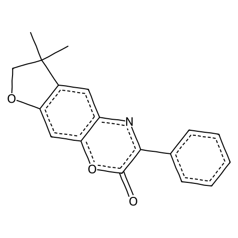 CC1(C)COc2cc3oc(=O)c(-c4ccccc4)nc3cc21